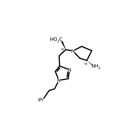 CC(C)CCn1cnc(C[C@@H](C(=O)O)N2CC[C@H](N)C2)c1